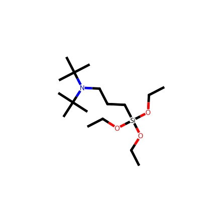 CCO[Si](CCCN(C(C)(C)C)C(C)(C)C)(OCC)OCC